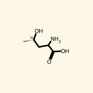 C[C@H](O)CC(N)C(=O)O